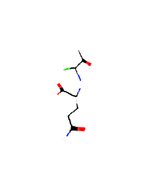 CC(=O)C(Cl)N[C@@H](CCC(N)=O)C(=O)O